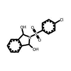 O=S(=O)(c1ccc(Cl)cc1)N1C(O)c2ccccc2C1O